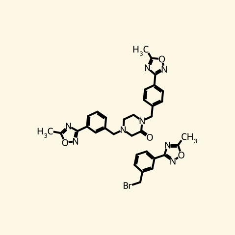 Cc1nc(-c2ccc(CN3CCN(Cc4cccc(-c5noc(C)n5)c4)CC3=O)cc2)no1.Cc1nc(-c2cccc(CBr)c2)no1